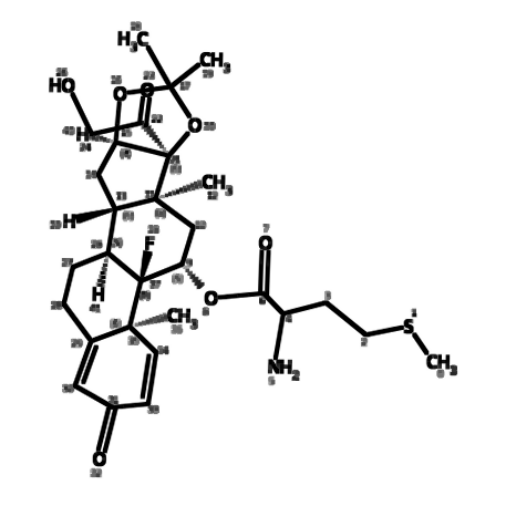 CSCCC(N)C(=O)O[C@H]1C[C@@]2(C)[C@@H](C[C@H]3OC(C)(C)O[C@]32C(=O)CO)[C@@H]2CCC3=CC(=O)C=C[C@]3(C)[C@@]12F